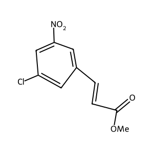 COC(=O)/C=C/c1cc(Cl)cc([N+](=O)[O-])c1